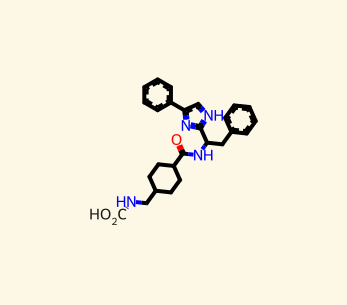 O=C(O)NCC1CCC(C(=O)NC(Cc2ccccc2)c2nc(-c3ccccc3)c[nH]2)CC1